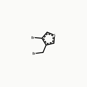 BrCc1cscc1Br